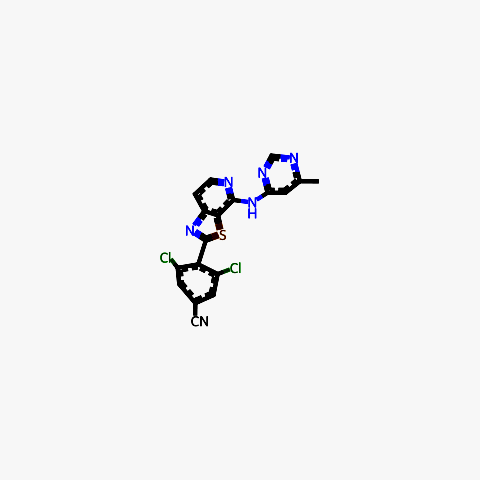 Cc1cc(Nc2nccc3nc(-c4c(Cl)cc(C#N)cc4Cl)sc23)ncn1